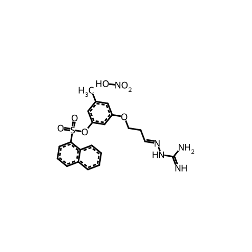 Cc1cc(OCCC=NNC(=N)N)cc(OS(=O)(=O)c2cccc3ccccc23)c1.O=[N+]([O-])O